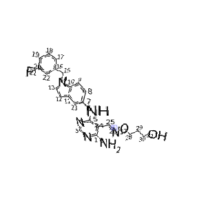 Nc1ncnc(Nc2ccc3c(ccn3Cc3cccc(F)c3)c2)c1/C=N/OCCCO